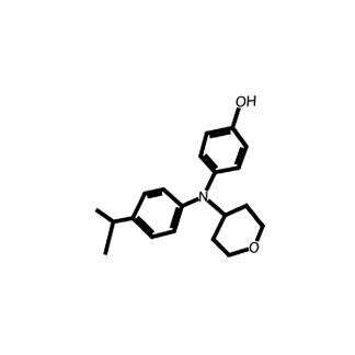 CC(C)c1ccc(N(c2ccc(O)cc2)C2CCOCC2)cc1